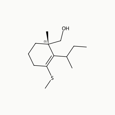 CCC(C)C1=C(SC)CCC[C@]1(C)CO